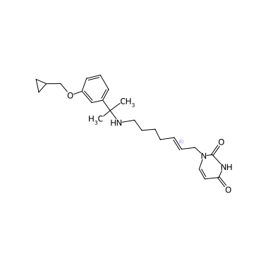 CC(C)(NCCCC/C=C/Cn1ccc(=O)[nH]c1=O)c1cccc(OCC2CC2)c1